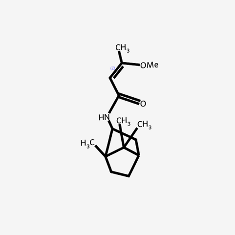 CO/C(C)=C\C(=O)NC1CC2CCC1(C)C2(C)C